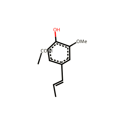 CC(=O)O.CC=Cc1ccc(O)c(OC)c1